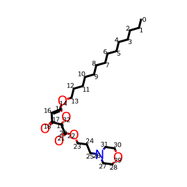 CCCCCCCCCCCCCCOC1=CC(=O)C(C(=O)OCCCN2CCOCC2)O1